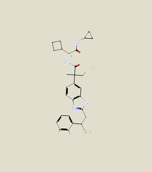 COCC(C)(C(=O)N[C@@H](C(=O)NC1CC1)C1CCC1)c1ccc2nc(CC(c3cccc(F)c3Cl)C(C)C)[nH]c2c1